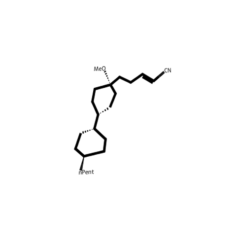 CCCCC[C@H]1CC[C@H]([C@H]2CC[C@@](CCC=CC#N)(OC)CC2)CC1